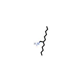 CCCCCCC(CN)CCCCC